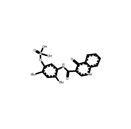 CC(C)(C)c1cc(C(C)(C)C)c(OP(=O)(O)O)cc1NC(=O)c1c[nH]c2ccccc2c1=O